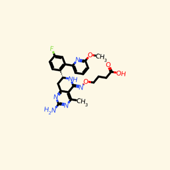 COc1cccc(-c2cc(F)ccc2[C@H]2Cc3nc(N)nc(C)c3/C(=N/OCCCC(=O)O)N2)n1